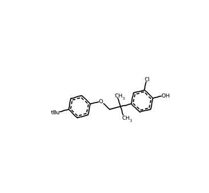 CC(C)(C)c1ccc(OCC(C)(C)c2ccc(O)c(Cl)c2)cc1